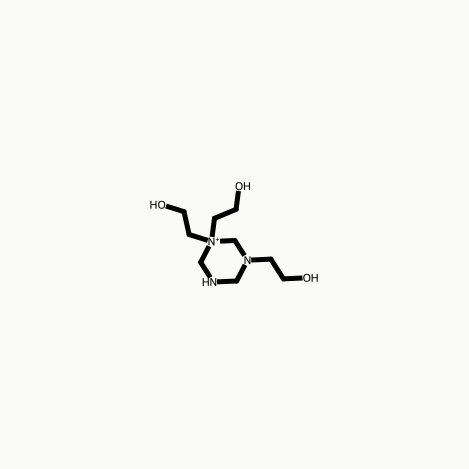 OCCN1CNC[N+](CCO)(CCO)C1